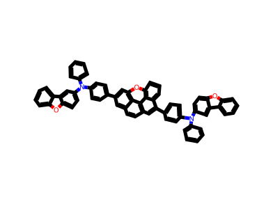 c1ccc(N(c2ccc(-c3cc4c5c(ccc6cc(-c7ccc(N(c8ccccc8)c8ccc9oc%10ccccc%10c9c8)cc7)c7cccc(c7c65)O4)c3)cc2)c2ccc3oc4ccccc4c3c2)cc1